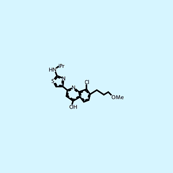 COCCCc1ccc2c(O)cc(-c3csc(NC(C)C)n3)nc2c1Cl